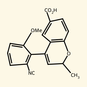 [C-]#[N+]c1cccc(OC)c1C1=CC(C)Oc2ccc(C(=O)O)cc21